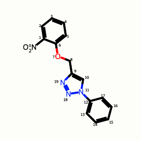 O=[N+]([O-])c1ccccc1OCc1cn(-c2ccccc2)nn1